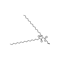 C=CCOC(=O)C(CCCCCCCCCCCCCCCC)C(=O)C(O)CCCCCCCCCCCCCCCC